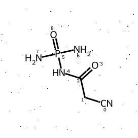 N#CCC(=O)NP(N)(N)=O